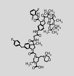 CC1CN(CC(=O)N2C[C@@](C)(C(=O)NCC(=O)Nc3ccc4c(c3)[C@@H](C(=O)Nc3c(F)cccc3F)N(C(=O)[C@@H](NC(=O)[C@H](C)N(C)C(=O)OC(C)(C)C)C(C)(C)C)C4)c3ccc(Cc4ccc(F)cc4)cc32)C(CN2CCOC[C@H]2C)CN1C(=O)O